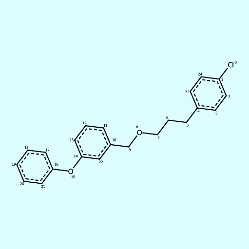 Clc1ccc(CCCOCc2cccc(Oc3ccccc3)c2)cc1